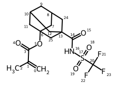 C=C(C)C(=O)OC12CC3CC(C1)CC(C(=O)NS(=O)(=O)C(F)(F)F)(C3)C2